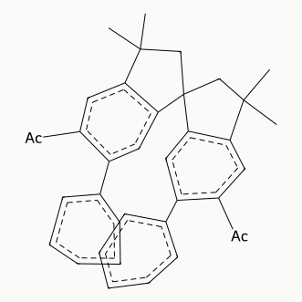 CC(=O)c1cc2c(cc1-c1ccccc1)C1(CC2(C)C)CC(C)(C)c2cc(C(C)=O)c(-c3ccccc3)cc21